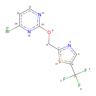 FC(F)(F)c1cnc(COc2nccc(Br)n2)s1